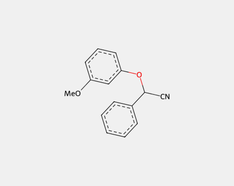 COc1cccc(OC(C#N)c2ccccc2)c1